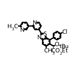 CCOC(=O)[C@@H](OC(C)(C)C)c1c(C)cc2nc(-c3ccnc(-c4ccc(C)nc4)c3)sc2c1-c1ccc(Cl)cc1